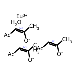 CC(=O)/C=C(/C)[O-].CC(=O)/C=C(/C)[O-].CC(=O)/C=C(/C)[O-].O.[Eu+3]